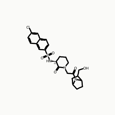 O=C1[C@@H](NS(=O)(=O)c2ccc3cc(Cl)ccc3c2)CCCN1CC(=O)N1C2CCC1C(CO)C2